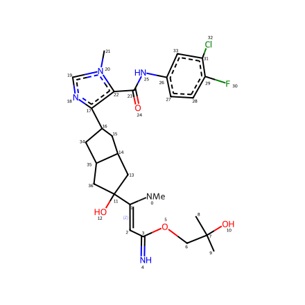 CN/C(=C\C(=N)OCC(C)(C)O)C1(O)CC2CC(c3ncn(C)c3C(=O)Nc3ccc(F)c(Cl)c3)CC2C1